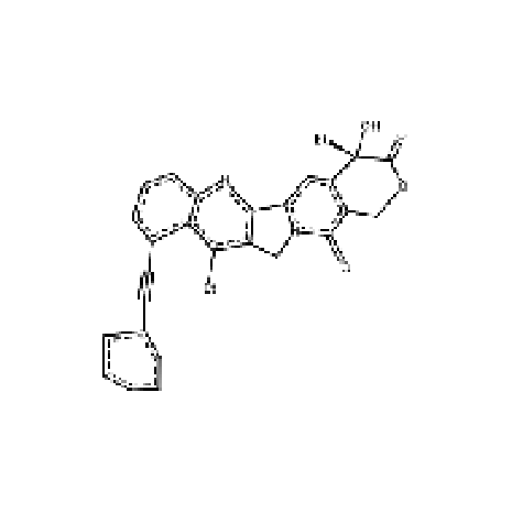 CCc1c2c(nc3cccc(C#Cc4ccccc4)c13)-c1cc3c(c(=O)n1C2)COC(=O)[C@]3(O)CC